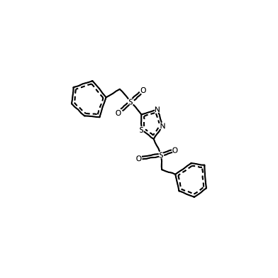 O=S(=O)(Cc1ccccc1)c1nnc(S(=O)(=O)Cc2ccccc2)s1